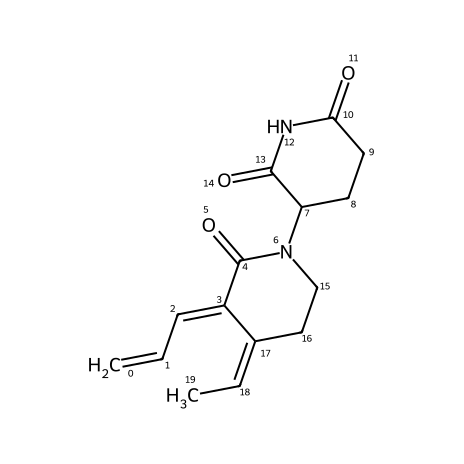 C=C/C=C1/C(=O)N(C2CCC(=O)NC2=O)CC/C1=C/C